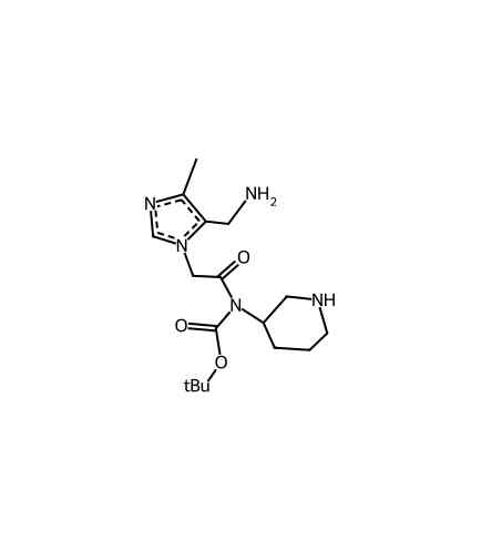 Cc1ncn(CC(=O)N(C(=O)OC(C)(C)C)C2CCCNC2)c1CN